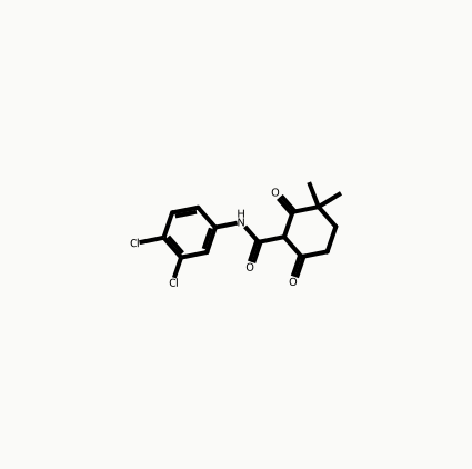 CC1(C)CCC(=O)C(C(=O)Nc2ccc(Cl)c(Cl)c2)C1=O